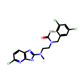 COC(=O)N(CCN(C)c1nc2ccc(Cl)nc2[nH]1)Cc1cc(Cl)cc(Cl)c1